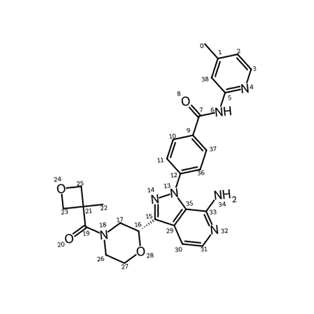 Cc1ccnc(NC(=O)c2ccc(-n3nc([C@H]4CN(C(=O)C5(C)COC5)CCO4)c4ccnc(N)c43)cc2)c1